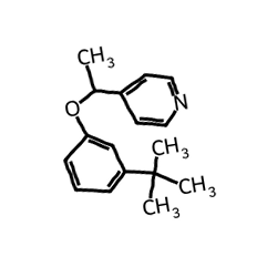 CC(Oc1cccc(C(C)(C)C)c1)c1ccncc1